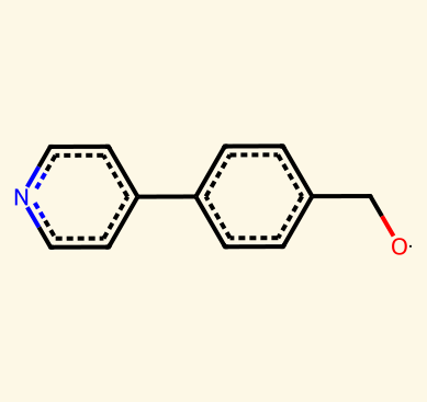 [O]Cc1ccc(-c2ccncc2)cc1